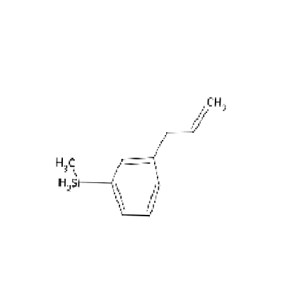 C=CCc1cccc([SiH2]C)c1